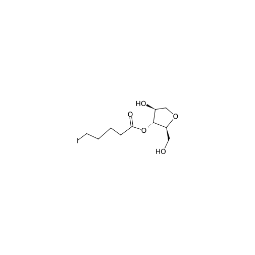 O=C(CCCCI)O[C@H]1[C@H](CO)OC[C@@H]1O